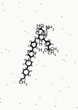 CCCC1CCC(C2CCN(c3cnc(-c4ccc(C[C@H](NC(=O)c5ccc(C(C)(C)C)s5)C(=O)N[C@@H](CN)C(=O)O)cc4)nc3)CC2)CC1